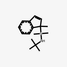 CC(C)(C)N[Si](C)(C)C1(C)C=Cc2ccccc21